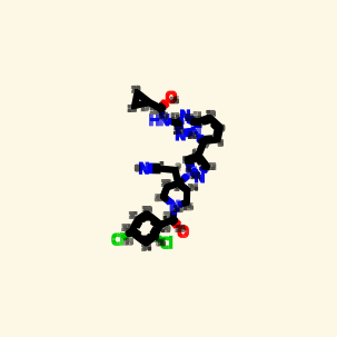 N#CCC1(n2cc(-c3cccc4nc(NC(=O)C5CC5)nn34)cn2)CCN(C(=O)c2ccc(Cl)cc2Cl)CC1